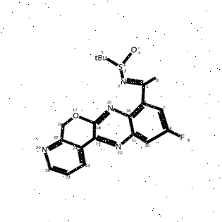 CC(=N[S+]([O-])C(C)(C)C)c1cc(F)cc2nc3c(nc12)OCc1ncccc1-3